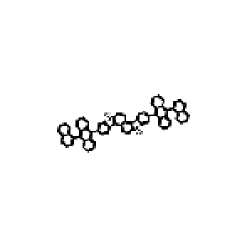 c1ccc2c(-c3c4ccccc4c(-c4ccc5c(c4)sc4ccc6c(ccc7sc8cc(-c9c%10ccccc%10c(-c%10cccc%11ccccc%10%11)c%10ccccc9%10)ccc8c76)c45)c4ccccc34)cccc2c1